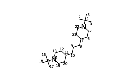 CC(C)(C)N1CCC(CCCC2CCN(C(C)(C)C)CC2)CC1